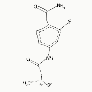 C[C@@H](Br)C(=O)Nc1ccc(C(N)=O)c(F)c1